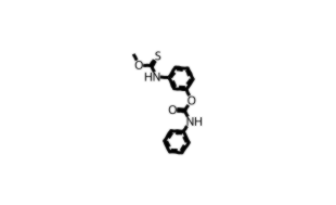 COC(=S)Nc1cccc(OC(=O)Nc2ccccc2)c1